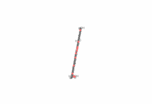 O=[C][C@H](CCC(=O)O)NC(=O)CCOCCOCCOCCOCCOCCOCCOCCOCCOCCOCCOCCOCCNC(=O)CCCCCCCCCCCCC(=O)O